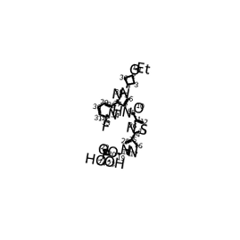 CCO[C@H]1C[C@@H](n2cc(NC(=O)c3csc(-c4cnn(COP(=O)(O)O)c4)n3)c(-c3cccc(F)n3)n2)C1